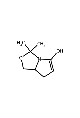 CC1(C)OCC2CC=C(O)N21